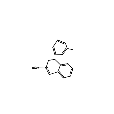 CCCCCCCC[N+]1=Cc2ccccc2CC1.Cc1ccccc1